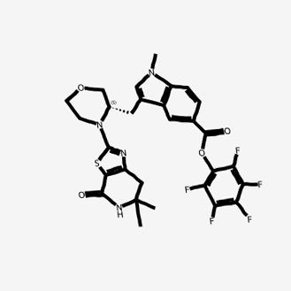 Cn1cc(C[C@H]2COCCN2c2nc3c(s2)C(=O)NC(C)(C)C3)c2cc(C(=O)Oc3c(F)c(F)c(F)c(F)c3F)ccc21